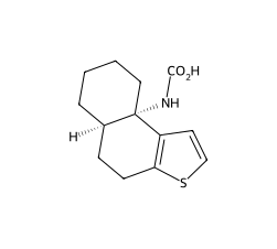 O=C(O)N[C@@]12CCCC[C@@H]1CCc1sccc12